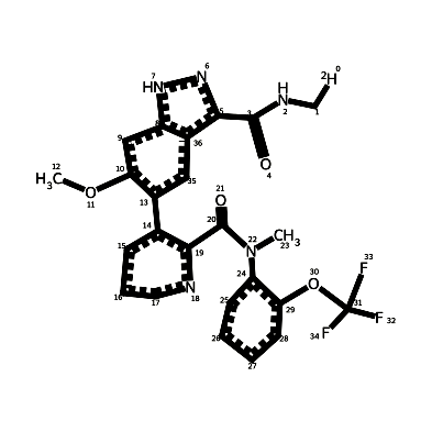 [2H]CNC(=O)c1n[nH]c2cc(OC)c(-c3cccnc3C(=O)N(C)c3ccccc3OC(F)(F)F)cc12